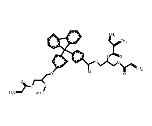 C=CC(=C)C(=O)OC(COC(=O)C=C)COC(CC)c1ccc(C2(c3ccc(OCC(COC(=O)C=C)OOC)cc3)c3ccccc3-c3ccccc32)cc1